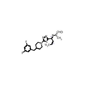 C/C=C\C(=N/N(C)C=O)c1nnc(N2CCC(Cc3cc(F)cc(F)c3)CC2)s1